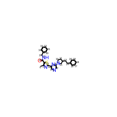 Cc1nc(-c2cncc(N3CCC(CCc4ccccc4)C3)n2)sc1C(=O)NCc1ccccc1